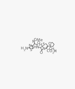 CO/N=C(\C(=O)N[C@@H]1C(=O)N2C(C(=O)O)=C(C3(C)CCCO3)CS[C@H]12)c1csc(N)n1